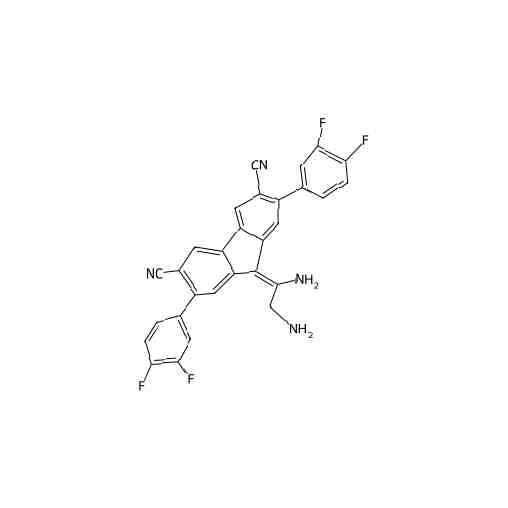 N#Cc1cc2c(cc1-c1ccc(F)c(F)c1)C(=C(N)CN)c1cc(-c3ccc(F)c(F)c3)c(C#N)cc1-2